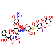 CCN[C@H]1CO[C@@H](O[C@H]2[C@H](OC3c4ccccc4[C@]4(O)CC(=O)[C@H](NC(=O)OC)C35SCC=C54)O[C@H](C)[C@@H](NO[C@H]3C[C@H](O)[C@H](SC(=O)c4c(C)c(I)c(OC5O[C@@H](C)[C@H](O)[C@@H](OC)[C@H]5O)c(OC)c4OC)[C@@H](C)O3)[C@@H]2O)C[C@@H]1OC